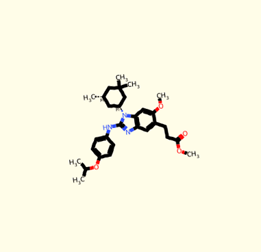 COC(=O)CCc1cc2nc(Nc3ccc(OC(C)C)cc3)n([C@@H]3C[C@H](C)CC(C)(C)C3)c2cc1OC